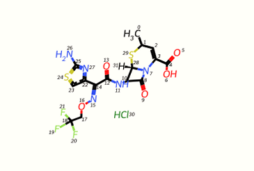 CC1C=C(C(=O)O)N2C(=O)C(NC(=O)C(=NOCC(F)(F)F)c3csc(N)n3)[C@@H]2S1.Cl